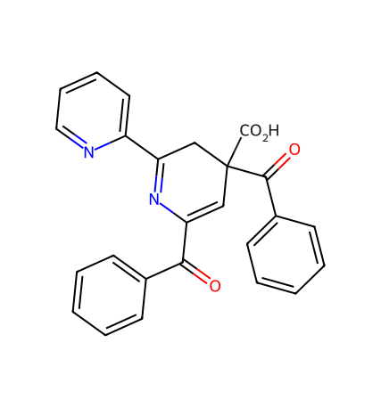 O=C(C1=CC(C(=O)O)(C(=O)c2ccccc2)CC(c2ccccn2)=N1)c1ccccc1